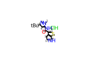 Cl.Cn1nc(C(C)(C)C)cc1NC(=O)c1csc2c1CCNC2